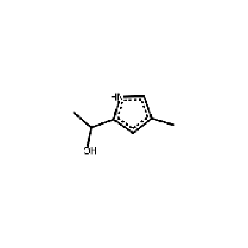 Cc1c[nH]c(C(C)O)c1